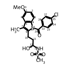 COc1ccc2c(c1)c(C)c(CCC(O)NS(C)(=O)=O)n2C(=O)c1ccc(Cl)cc1